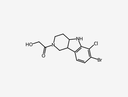 O=C(CO)N1CCC2Nc3c(ccc(Br)c3Cl)C2C1